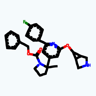 CC1(c2cc(OC3C4CNCC43)nc(-c3ccc(F)cc3)c2)CCCN1C(=O)OCc1ccccc1